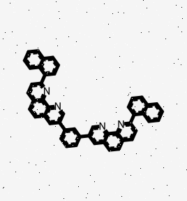 c1cc(-c2cnc3c(ccc4ccc(-c5cccc6ccccc56)nc43)c2)cc(-c2cnc3c(ccc4ccc(-c5cccc6ccccc56)nc43)c2)c1